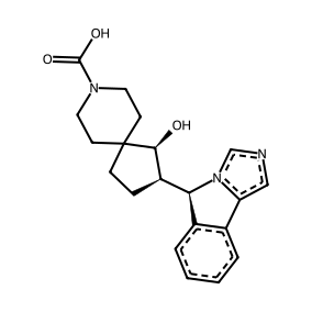 O=C(O)N1CCC2(CC[C@H]([C@@H]3c4ccccc4-c4cncn43)[C@@H]2O)CC1